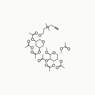 C#CC[N+](C)(C)CCO[C@@H]1O[C@H](CO[C@H]2O[C@H](COC(C)=O)[C@H](OC(C)=O)[C@H](OC(C)=O)[C@H]2OC(C)=O)[C@@H](OC(C)=O)[C@H](OC(C)=O)[C@H]1OC(C)=O